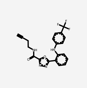 C#CCCNC(=O)c1nnc(-c2ccccc2Nc2ccc(C(F)(F)F)cc2)o1